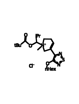 CCCCCCOc1nsnc1C1=CCC[N+](C)(C(OC(=O)C(C)(C)C)C(C)C)C1.[Cl-]